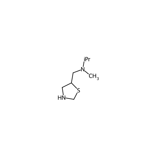 CC(C)N(C)CC1CNCS1